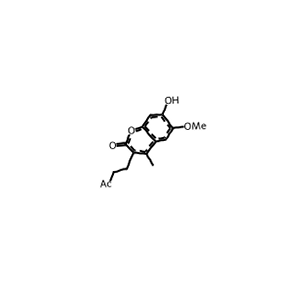 COc1cc2c(C)c(CCC(C)=O)c(=O)oc2cc1O